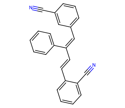 N#Cc1cccc(C=C(C=Cc2ccccc2C#N)c2ccccc2)c1